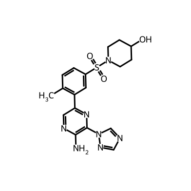 Cc1ccc(S(=O)(=O)N2CCC(O)CC2)cc1-c1cnc(N)c(-n2cncn2)n1